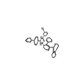 N#Cc1cccc(-c2nc(-c3ccc(-c4ccccc4)cc3)nc(-c3cccc(-c4cccc5ccccc45)c3-c3ccccc3)n2)c1